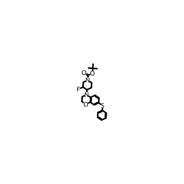 CC(C)(C)OC(=O)N1CCC(N2CCOc3cc(Sc4ccccc4)ccc32)C(F)C1